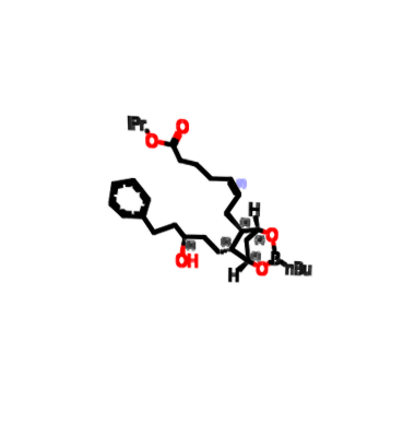 CCCCB1O[C@H]2C[C@@H](O1)[C@H](C/C=C\CCCC(=O)OC(C)C)[C@H]2CC[C@@H](O)CCc1ccccc1